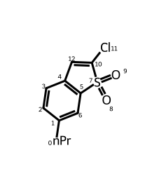 CCCc1ccc2c(c1)S(=O)(=O)C(Cl)=C2